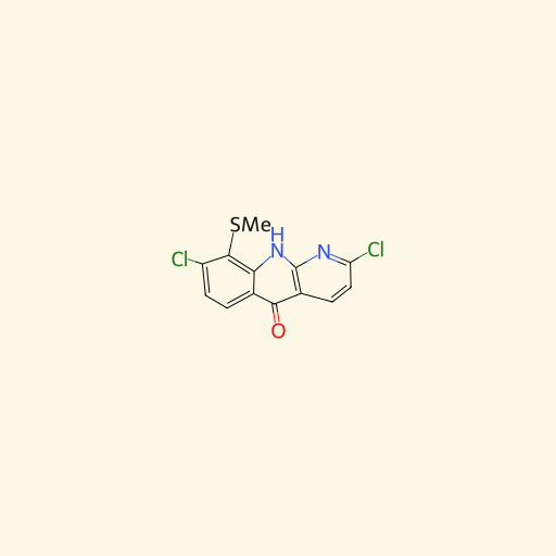 CSc1c(Cl)ccc2c(=O)c3ccc(Cl)nc3[nH]c12